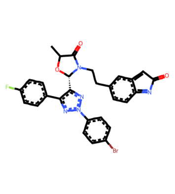 CC1O[C@@H](c2nn(-c3ccc(Br)cc3)nc2-c2ccc(F)cc2)N(CCc2ccc3c(c2)=CC(=O)N=3)C1=O